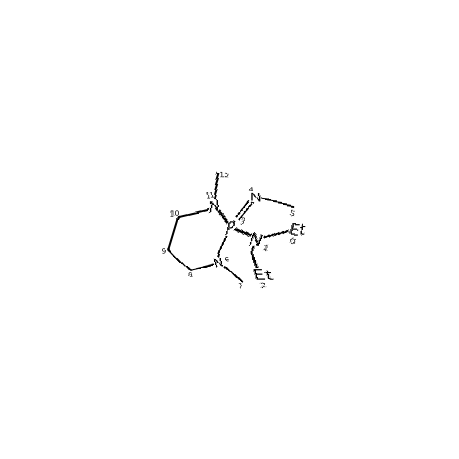 CCN(CC)P1(=NC)N(C)CCCN1C